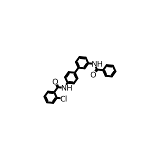 O=C(Nc1cccc(-c2ccc(NC(=O)c3ccccc3Cl)cc2)c1)c1ccccc1